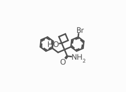 NC(=O)C(Cc1ccccc1)(c1cccc(Br)c1)C1(O)CCC1